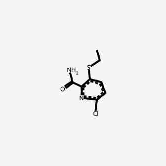 CCSc1ccc(Cl)nc1C(N)=O